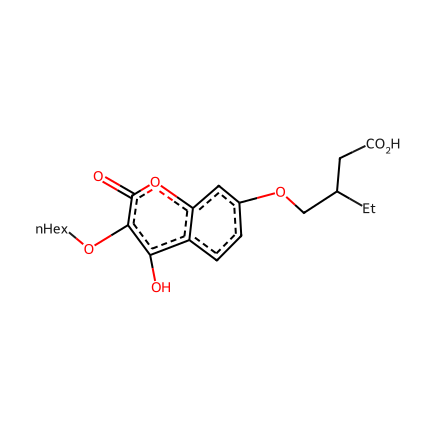 CCCCCCOc1c(O)c2ccc(OCC(CC)CC(=O)O)cc2oc1=O